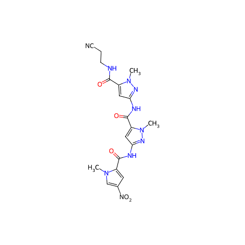 Cn1cc([N+](=O)[O-])cc1C(=O)Nc1cc(C(=O)Nc2cc(C(=O)NCCC#N)n(C)n2)n(C)n1